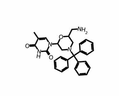 Cc1cn(C2CN(C(c3ccccc3)(c3ccccc3)c3ccccc3)CC(CN)O2)c(=O)[nH]c1=O